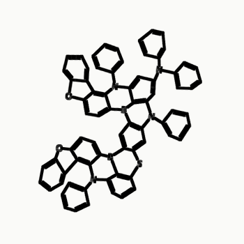 c1ccc(N(c2ccccc2)c2cc3c4c(c2)N(c2ccccc2)c2c(ccc5oc6ccccc6c25)B4c2cc4c(cc2N3c2ccccc2)Sc2cccc3c2B4c2ccc4oc5ccccc5c4c2N3c2ccccc2)cc1